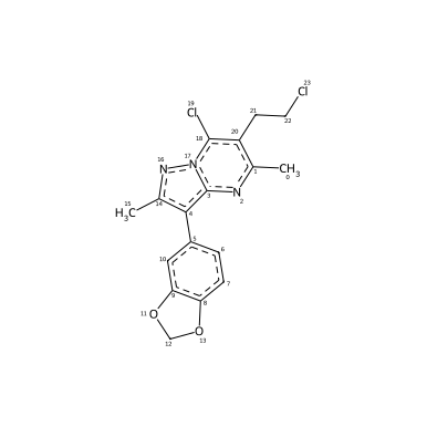 Cc1nc2c(-c3ccc4c(c3)OCO4)c(C)nn2c(Cl)c1CCCl